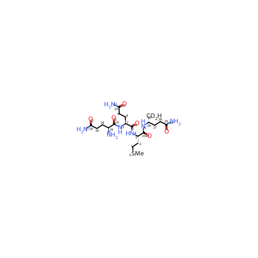 CSCC[C@H](NC(=O)[C@H](CCC(N)=O)NC(=O)[C@@H](N)CCC(N)=O)C(=O)N[C@@H](CCC(N)=O)C(=O)O